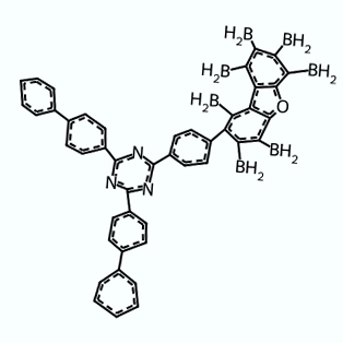 Bc1c(B)c(B)c2c(oc3c(B)c(B)c(-c4ccc(-c5nc(-c6ccc(-c7ccccc7)cc6)nc(-c6ccc(-c7ccccc7)cc6)n5)cc4)c(B)c32)c1B